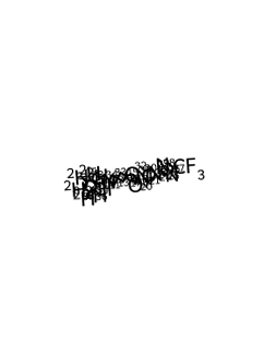 [2H]c1c([2H])c([2H])c(C([2H])([2H])N2CC3(CC(OC(=O)N4[C@H](C)CN(c5cnc(C(F)(F)F)cn5)C[C@@H]4C)C3)C2)c([2H])c1[2H]